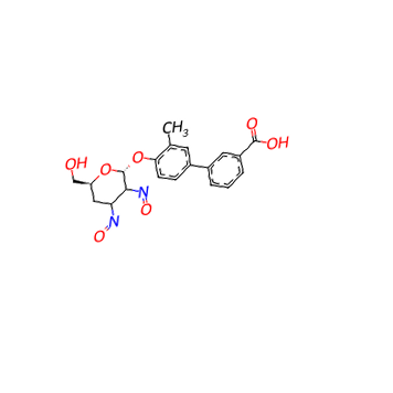 Cc1cc(-c2cccc(C(=O)O)c2)ccc1O[C@H]1O[C@H](CO)CC(N=O)C1N=O